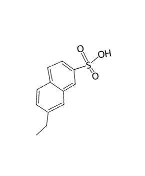 CCc1ccc2ccc(S(=O)(=O)O)cc2c1